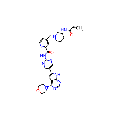 C=CC(=O)N[C@@H]1CCCN(Cc2ccnc(C(=O)Nc3ncc(-c4cc5c(N6CCOCC6)ncnc5[nH]4)cn3)c2)C1